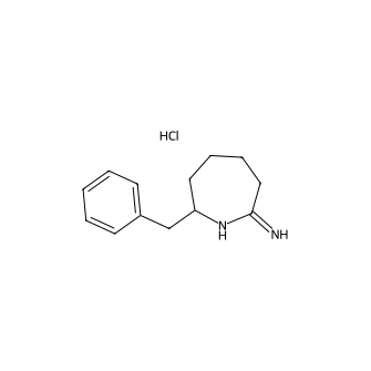 Cl.N=C1CCCCC(Cc2ccccc2)N1